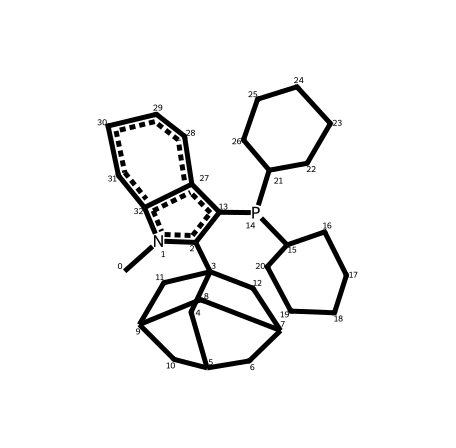 Cn1c(C23CC4CC(CC(C4)C2)C3)c(P(C2CCCCC2)C2CCCCC2)c2ccccc21